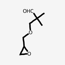 CC(C)(C=O)COCC1CO1